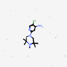 CN1C(C)(C)CN(c2cc(N)c(Cl)cn2)CC1(C)C